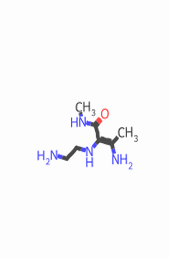 CNC(=O)/C(NCCN)=C(\C)N